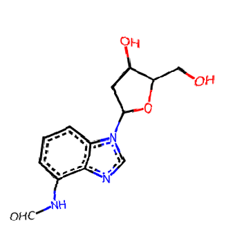 O=CNc1cccc2c1ncn2C1CC(O)C(CO)O1